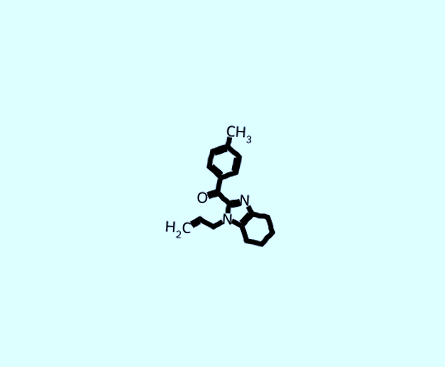 C=CCn1c(C(=O)c2ccc(C)cc2)nc2c1CCCC2